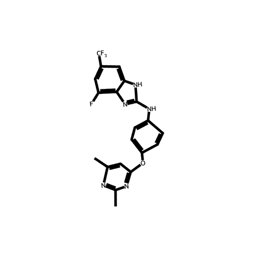 Cc1cc(Oc2ccc(Nc3nc4c(F)cc(C(F)(F)F)cc4[nH]3)cc2)nc(C)n1